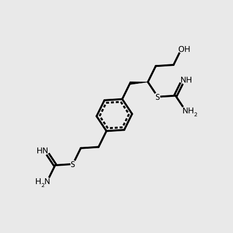 N=C(N)SCCc1ccc(C[C@@H](CCO)SC(=N)N)cc1